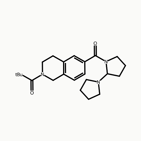 CC(C)(C)C(=O)N1CCc2cc(C(=O)N3CCCC3N3CCCC3)ccc2C1